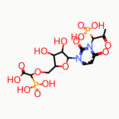 CC(=O)C(n1c(=O)ccn(C2OC(COC(C(=O)O)P(=O)(O)O)C(O)C2O)c1=O)P(=O)(O)O